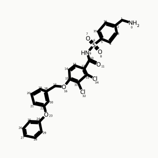 NCc1ccc(S(=O)(=O)NC(=O)c2ccc(OCc3cccc(Oc4ccccc4)c3)c(Cl)c2Cl)cc1